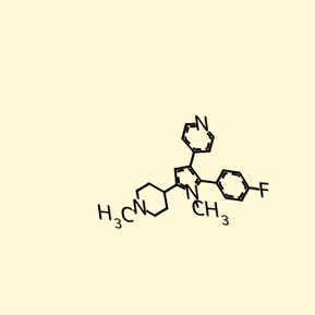 CN1CCC(c2cc(-c3ccncc3)c(-c3ccc(F)cc3)n2C)CC1